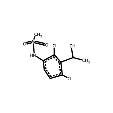 CC(C)c1c(Cl)ccc(NS(C)(=O)=O)c1Cl